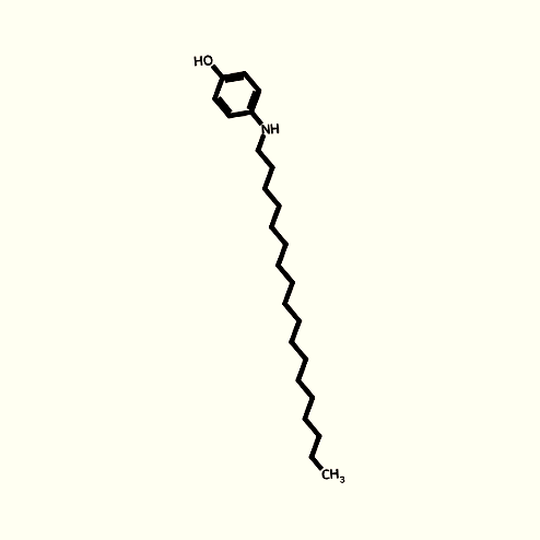 CCCCCCCCCCCCCCCCCCNc1ccc(O)cc1